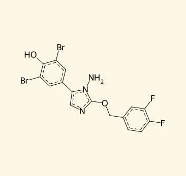 Nn1c(-c2cc(Br)c(O)c(Br)c2)cnc1OCc1ccc(F)c(F)c1